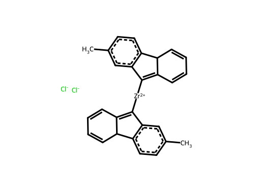 Cc1ccc2c(c1)[C]([Zr+2][C]1=C3C=CC=CC3c3ccc(C)cc31)=C1C=CC=CC12.[Cl-].[Cl-]